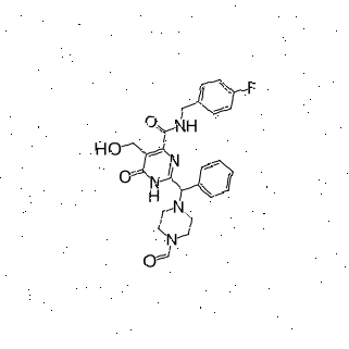 O=CN1CCN(C(c2ccccc2)c2nc(C(=O)NCc3ccc(F)cc3)c(CO)c(=O)[nH]2)CC1